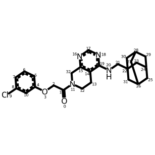 O=C(COc1cccc(Cl)c1)N1CCc2c(ncnc2NCC23CC4CC(CC(C4)C2)C3)C1